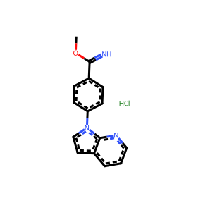 COC(=N)c1ccc(-n2ccc3cccnc32)cc1.Cl